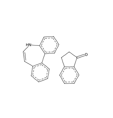 C1=Cc2ccccc2-c2ccccc2N1.O=C1CCc2ccccc21